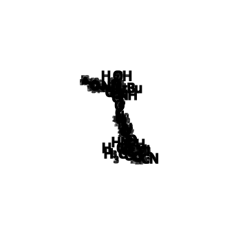 CC(C)(C)C(NC(=O)COCCN1CCN(c2ccc(C(=O)NC3C(C)(C)C(Oc4ccc(C#N)c(Cl)c4)C3(C)C)cn2)CC1)C(=O)N1C[C@H](O)C[C@H]1C(=O)NCc1ccc(C2CC2)cc1